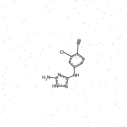 C#Cc1ccc(Nc2n[nH]c(N)n2)cc1Cl